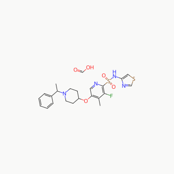 Cc1c(OC2CCN(C(C)c3ccccc3)CC2)cnc(S(=O)(=O)Nc2cscn2)c1F.O=CO